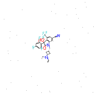 CCN(CC)[C@H]1C[C@H](CN2C(=O)C(O)(c3c(F)cc(F)cc3F)c3c2cc(C#N)cc3C(F)(F)F)C1